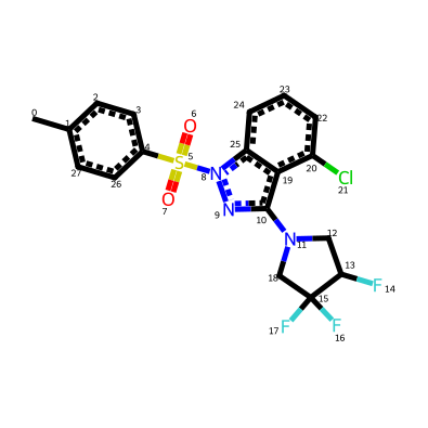 Cc1ccc(S(=O)(=O)n2nc(N3CC(F)C(F)(F)C3)c3c(Cl)cccc32)cc1